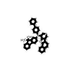 CC1(C)c2ccccc2-c2ccc(N(c3ccc(-c4ccccc4)cc3)c3cncc4c3oc3c5ccccc5ccc43)cc21